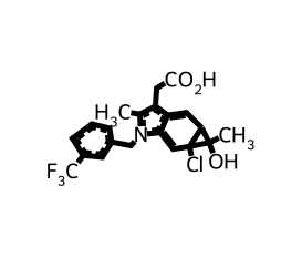 Cc1c(CC(=O)O)c2c(n1Cc1cccc(C(F)(F)F)c1)=CC1(Cl)C(C=2)C1(C)O